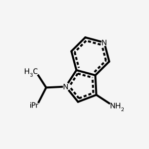 CC(C)C(C)n1cc(N)c2cnccc21